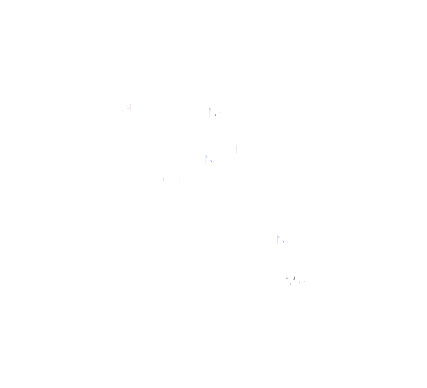 CSc1nc2ccc(CN(C=O)c3c(C)cc(Br)cc3[N+](=O)[O-])cc2s1